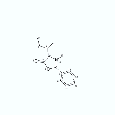 CCC(C)[C@H]1C(=O)OC(c2ccccc2)N1C